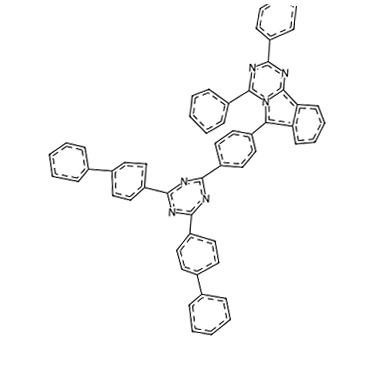 c1ccc(-c2ccc(-c3nc(-c4ccc(-c5ccccc5)cc4)nc(-c4ccc(-c5c6ccccc6c6nc(-c7ccccc7)nc(-c7ccccc7)n56)cc4)n3)cc2)cc1